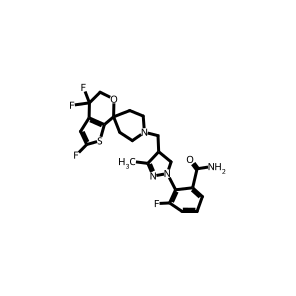 CC1=NN(c2c(F)cccc2C(N)=O)CC1CN1CCC2(CC1)OCC(F)(F)c1cc(F)sc12